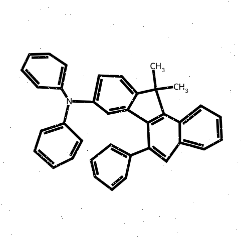 CC1(C)c2ccc(N(c3ccccc3)c3ccccc3)cc2-c2c(-c3ccccc3)cc3ccccc3c21